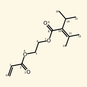 C=CC(=O)OCCOC(=O)C(=C(C)C)C(C)C